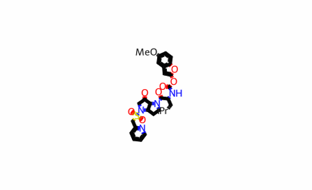 COc1ccc2oc(OC(=O)NC(CC(C)C)C(=O)N3CCC4C3C(=O)CN4S(=O)(=O)Cc3ccccn3)cc2c1